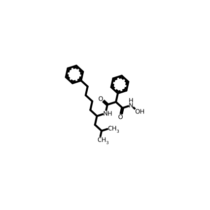 CC(C)CC(CCCCc1ccccc1)NC(=O)C(C(=O)NO)c1ccccc1